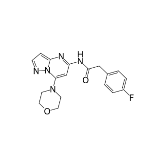 O=C(Cc1ccc(F)cc1)Nc1cc(N2CCOCC2)n2nccc2n1